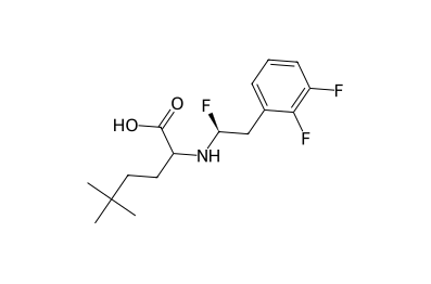 CC(C)(C)CCC(N[C@@H](F)Cc1cccc(F)c1F)C(=O)O